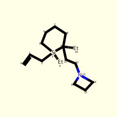 C=CC[Si]1(CC)CCCCC1(CC)CCN1CCC1